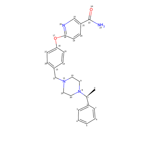 C[C@@H](c1ccccc1)N1CCN(Cc2ccc(Oc3ccc(C(N)=O)cn3)cc2)CC1